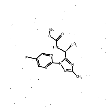 Cc1nc([C@H](C)NC(=O)OC(C)(C)C)n(-c2ncc(Br)cn2)n1